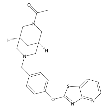 CC(=O)N1C[C@@H]2C[C@@H](CN(Cc3ccc(Oc4nc5ncccc5s4)cc3)C2)C1